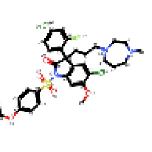 COc1cc2c(cc1Cl)C(CCCN1CCCN(C)CC1)(c1ccccc1F)C(=O)N2S(=O)(=O)c1ccc(OC(C)C)cc1.Cl